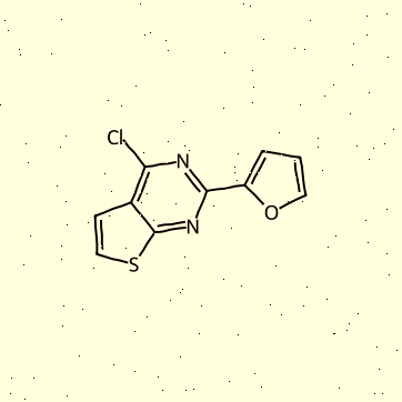 Clc1nc(-c2ccco2)nc2sccc12